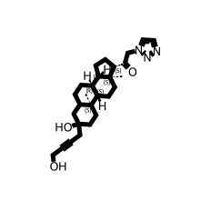 C[C@]12CC[C@H]3[C@@H](CCC4CC(O)(CC#CCO)CC[C@@]43C)[C@@H]1CC[C@@H]2C(=O)Cn1ccnn1